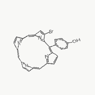 Oc1ccc(C2=C3C=CC(=N3)C=C3C=CC(=N3)C=C3C=CC(=N3)C=C3C=C(Br)C2=N3)cc1